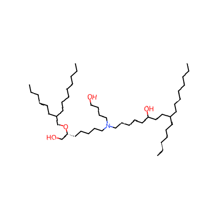 CCCCCCCCC(CCCCCC)CCC(O)CCCCCN(CCCCO)CCCCC[C@H](CO)OCC(CCCCCC)CCCCCCCC